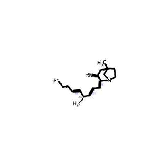 CC(C)CC/C=C/[C@H](C)/C=C/C=C1\C(=N)CC2(C)CCN1C2